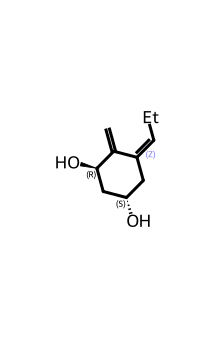 C=C1/C(=C\CC)C[C@H](O)C[C@H]1O